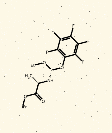 CCO[P@@](N[C@@H](C)C(=O)OC(C)C)Oc1c(F)c(F)c(F)c(F)c1F